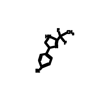 CCc1ccc(C2CNC(C(C)(F)F)=N2)cc1